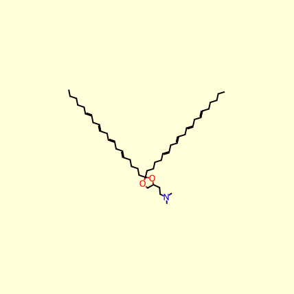 CCCCCC=CCC=CCC=CCC=CCCCCC1(CCCCC=CCC=CCC=CCC=CCCCCC)OCC(CCN(C)C)O1